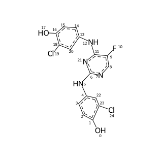 Oc1ccc(Nc2ncc(F)c(Nc3ccc(O)c(Cl)c3)n2)cc1Cl